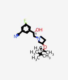 CC(C)(C)[Si](C)(C)OC1CCN(C[C@@H](O)c2cc(F)cc(C#N)c2)C1